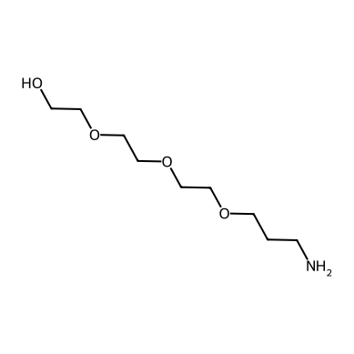 NCCCOCCOCCOCCO